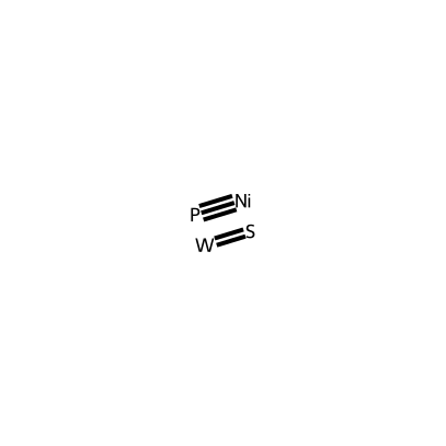 [P]#[Ni].[S]=[W]